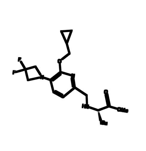 COC(=O)[C@@H](NCc1ccc(N2CC(F)(F)C2)c(OCC2CC2)n1)C(C)(C)C